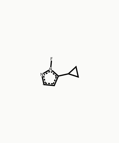 Fn1n[c]cc1C1CC1